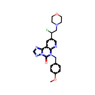 COc1ccc(Cn2c(=O)n3ncnc3c3cc(C(F)CN4CCOCC4)cnc32)cc1